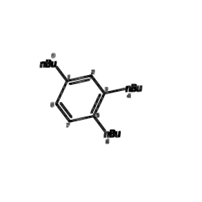 CCCCc1[c]c(CCCC)c(CCCC)cc1